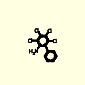 Nc1c(Cl)c(Cl)c(Cl)c(Cl)c1-c1ccccc1